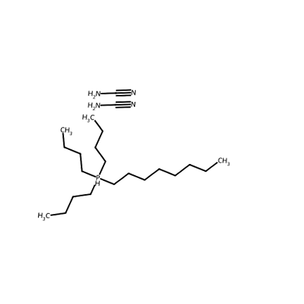 CCCCCCCC[PH](CCCC)(CCCC)CCCC.N#CN.N#CN